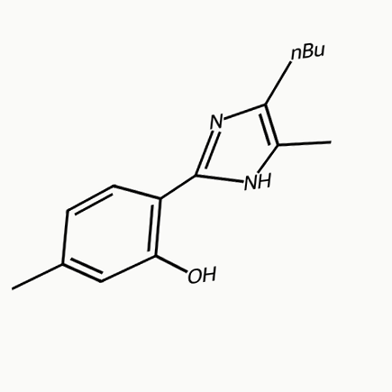 CCCCc1nc(-c2ccc(C)cc2O)[nH]c1C